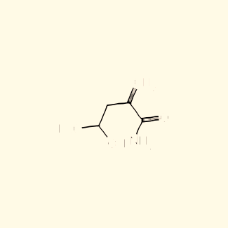 C=C(CC(C)O)C(N)=O